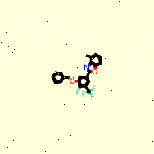 Cc1cccc2oc(-c3cc(OCc4ccccc4)c(F)c(C(F)(F)F)c3)nc12